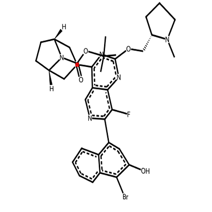 CN1CCC[C@H]1COc1nc(N2C[C@H]3CC[C@@H](C2)N3C(=O)OC(C)(C)C)c2cnc(-c3cc(O)c(Br)c4ccccc34)c(F)c2n1